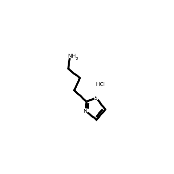 Cl.NCCCc1nccs1